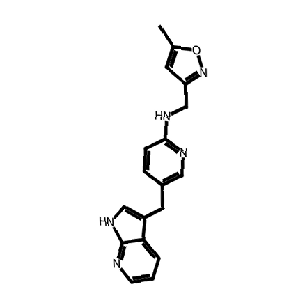 Cc1cc(CNc2ccc(Cc3c[nH]c4ncccc34)cn2)no1